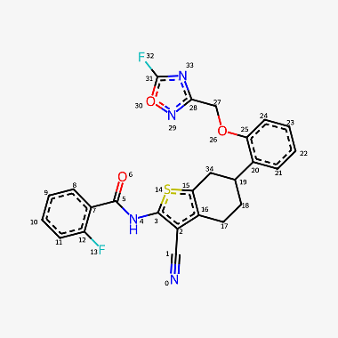 N#Cc1c(NC(=O)c2ccccc2F)sc2c1CCC(c1ccccc1OCc1noc(F)n1)C2